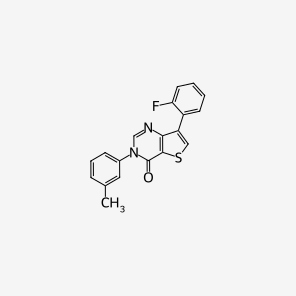 Cc1cccc(-n2cnc3c(-c4ccccc4F)csc3c2=O)c1